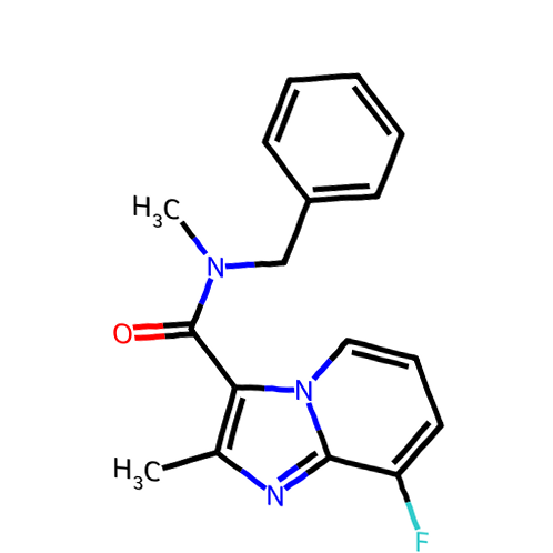 Cc1nc2c(F)cccn2c1C(=O)N(C)Cc1ccccc1